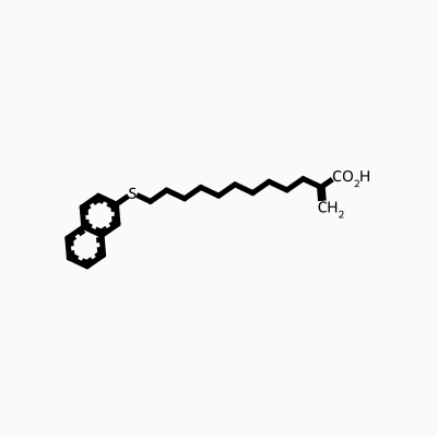 C=C(CCCCCCCCCCSc1ccc2ccccc2c1)C(=O)O